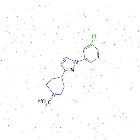 O=C(O)N1CCC(c2ccn(-c3cccc(Cl)c3)n2)CC1